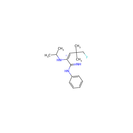 CC(C)N/C(=C/C(C)(C)CF)C(=N)Nc1ccccc1